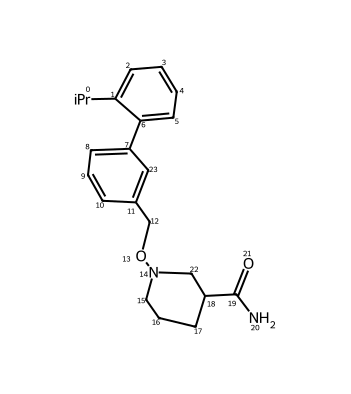 CC(C)c1ccccc1-c1cccc(CON2CCCC(C(N)=O)C2)c1